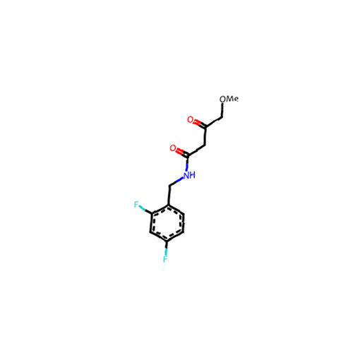 COCC(=O)CC(=O)NCc1ccc(F)cc1F